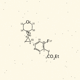 CCOC(=O)Cc1ccc([C@@H]2C[C@H]2N2CCOCC2)cc1F